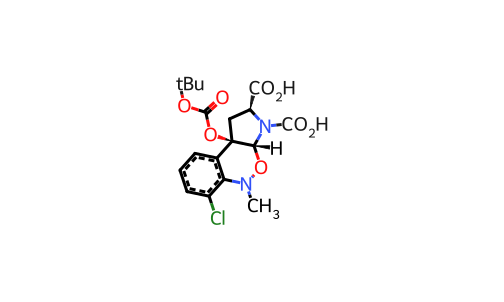 CN1O[C@H]2N(C(=O)O)[C@H](C(=O)O)C[C@@]2(OC(=O)OC(C)(C)C)c2cccc(Cl)c21